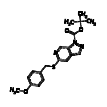 COc1ccc(CSc2cc3cnn(C(=O)OC(C)(C)C)c3cn2)cc1